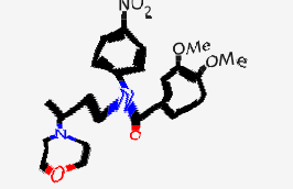 COc1ccc(C(=O)N(CCC(C)N2CCOCC2)c2ccc([N+](=O)[O-])cc2)cc1OC